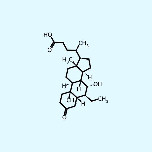 CC[C@@H]1[C@@H](O)[C@@H]2[C@H](CC[C@]3(C)[C@@H]([C@H](C)CCC(=O)O)CC[C@@H]23)[C@@]2(C)CCC(=O)C[C@@H]12